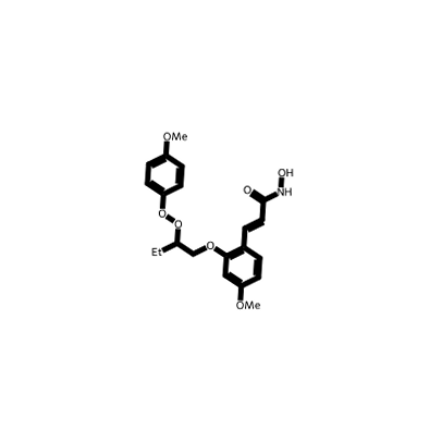 CCC(COc1cc(OC)ccc1/C=C/C(=O)NO)OOc1ccc(OC)cc1